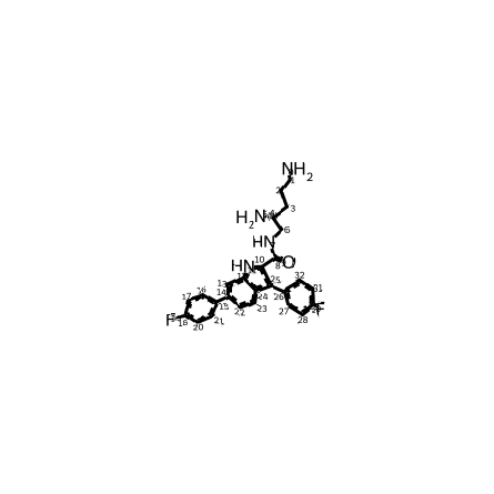 NCCC[C@@H](N)CNC(=O)c1[nH]c2cc(-c3ccc(F)cc3)ccc2c1-c1ccc(F)cc1